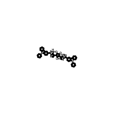 O=C1C(O)=C(c2cnn3c(-c4ccc5c(c4)c4ccccc4n5-c4ccccc4)n[nH]c23)C(O)=C1c1cnn2c(-c3ccc4c(c3)c3ccccc3n4-c3ccccc3)n[nH]c12